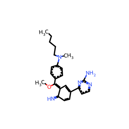 CCCCCN(C)c1ccc(/C(OC)=C2\C=C(c3ccnc(N)n3)C=CC2=N)cc1